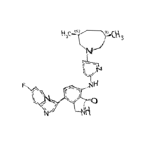 C[C@@H]1CC[C@H](C)CN(c2ccc(Nc3ccc(-c4cnc5cc(F)ccn45)c4c3C(=O)NC4)nc2)C1